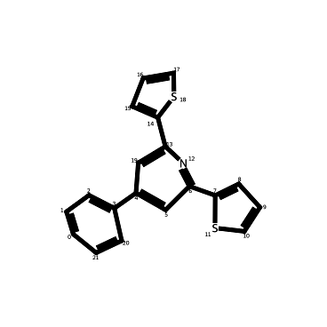 c1ccc(-c2cc(-c3cccs3)nc(-c3cccs3)c2)cc1